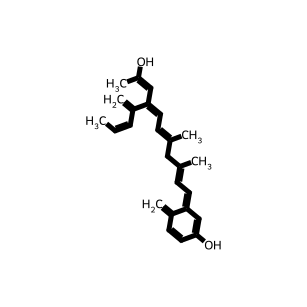 C=C(/C=C\C)C(=C\C=C(/C)C/C(C)=C/C=c1/cc(O)ccc1=C)/C=C(\C)O